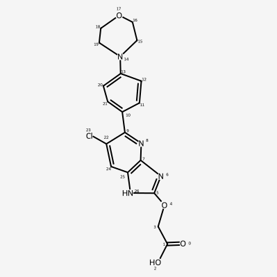 O=C(O)COc1nc2nc(-c3ccc(N4CCOCC4)cc3)c(Cl)cc2[nH]1